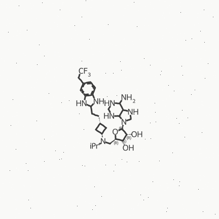 CC(C)N(C[C@H]1O[C@@H](N2CNC3C(N)NCNC32)[C@H](O)[C@@H]1O)[C@H]1C[C@@H](CCC2Nc3ccc(CC(F)(F)F)cc3N2)C1